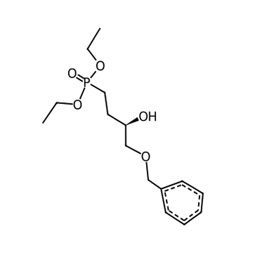 CCOP(=O)(CC[C@@H](O)COCc1ccccc1)OCC